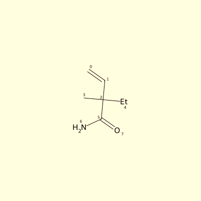 C=CC(C)(CC)C(N)=O